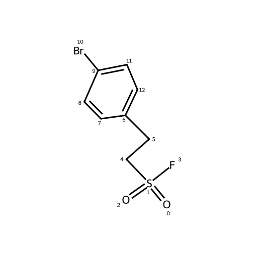 O=S(=O)(F)CCc1ccc(Br)cc1